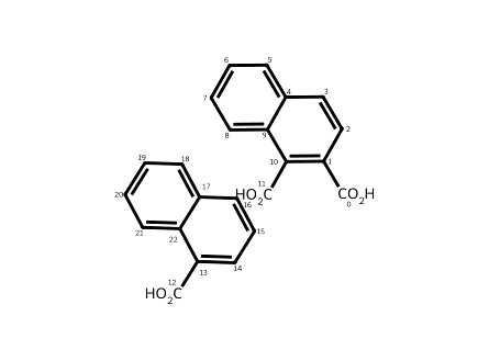 O=C(O)c1ccc2ccccc2c1C(=O)O.O=C(O)c1cccc2ccccc12